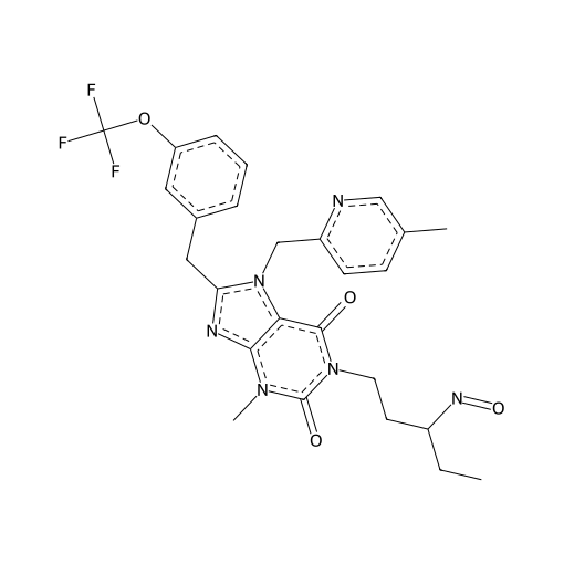 CCC(CCn1c(=O)c2c(nc(Cc3cccc(OC(F)(F)F)c3)n2Cc2ccc(C)cn2)n(C)c1=O)N=O